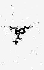 CC(=O)Nc1cn(C(=O)OC(C)(C)C)c2ccc(CCO)cc12